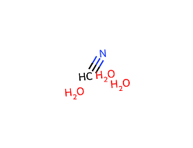 C#N.O.O.O